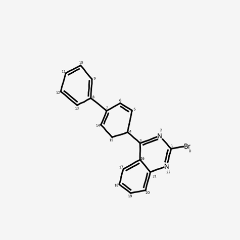 Brc1nc(C2C=CC(c3ccccc3)=CC2)c2ccccc2n1